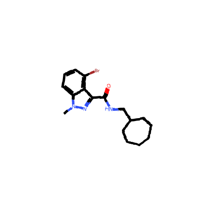 Cn1nc(C(=O)NCC2CCCCCC2)c2c(Br)cccc21